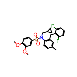 COc1ccc(S(=O)(=O)N(CC2CC2)c2ccc(C)cc2Cc2c(F)cccc2F)cc1OC